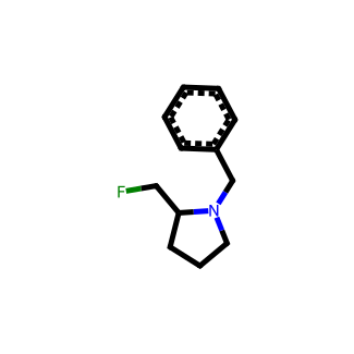 FCC1CCCN1Cc1ccccc1